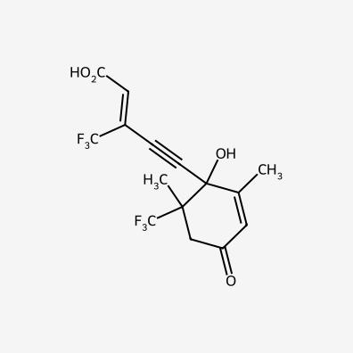 CC1=CC(=O)CC(C)(C(F)(F)F)C1(O)C#C/C(=C/C(=O)O)C(F)(F)F